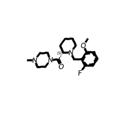 COc1cccc(F)c1CN1CCCC[C@H]1C(=O)N1CCN(C)CC1